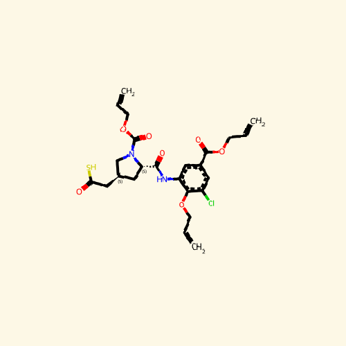 C=CCOC(=O)c1cc(Cl)c(OCC=C)c(NC(=O)[C@@H]2C[C@@H](CC(=O)S)CN2C(=O)OCC=C)c1